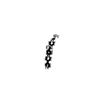 CC(C)CCN1CCC(NC(=O)c2ccc(N3CCC(c4ccncc4)CC3)cc2)CC1